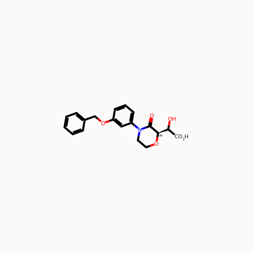 O=C(O)C(O)[C@H]1OCCN(c2cccc(OCc3ccccc3)c2)C1=O